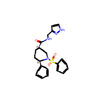 O=C(NCc1cc[nH]n1)[C@@H]1CC[C@H](c2ccccc2)N(S(=O)(=O)c2ccccc2)C1